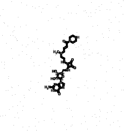 CN(CC=CC(=O)N1CCNCC1)CCNc1c(NC[C@H]2O[C@@H](n3cnc4c(=O)[nH]c(N)nc43)[C@H](O)[C@@H]2O)c(=O)c1=O